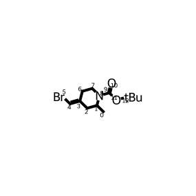 CC1CC(=CBr)CCN1C(=O)OC(C)(C)C